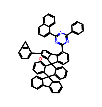 Oc1c(-c2cccc3c2C3)ccc2c1C1(c3ccccc3C3(c4ccccc4-c4ccccc43)c3ccccc31)c1cccc(-c3nc(-c4ccccc4)nc(-c4cccc5ccccc45)n3)c1-2